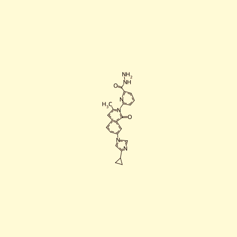 Cc1cc2ccc(-n3cnc(C4CC4)c3)cc2c(=O)n1-c1cccc(C(=O)NN)n1